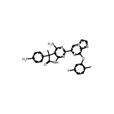 CC1(c2ccc(P)cc2)C(=O)Nc2nc(-c3cn4ccnc4c(Oc4cc(F)ccc4F)n3)nc(N)c21